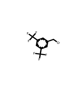 [O]Cc1cc(C(F)(F)F)cc(C(F)(F)F)c1